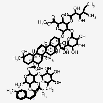 CCC(C)C(O)C(O)C1OOC2C(C(=O)OC)OC(O[C@H]3CC[C@]4(C)[C@H]5C=CC6[C@@H]7CC(C)(C)CC[C@]7(C(=O)OC7OC(C)C(OC(=O)/C=C\c8ccc(C)cc8)C(OC(C)=O)C7OC7OC(C)C(O)C(O)C7O)[C@H](O)C[C@@]6(C)[C@]5(C)CC[C@H]4[C@]3(C)C=O)C(OC3OC(CO)C(O)C(O)C3O)C2O1